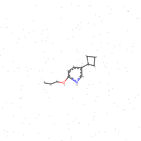 CCCOc1ccc(C2CCC2)cn1